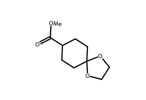 COC(=O)C1CCC2(CC1)OCCO2